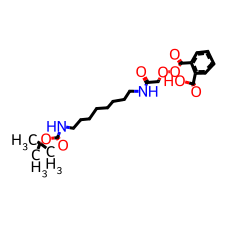 CC(C)(C)OC(=O)NCCCCCCCCNC(=O)COOC(=O)c1ccccc1C(=O)O